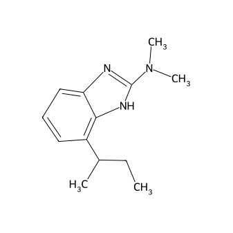 CCC(C)c1cccc2nc(N(C)C)[nH]c12